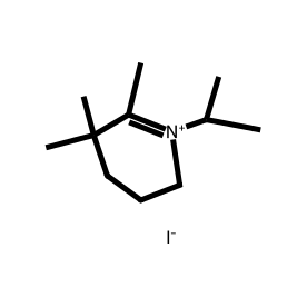 CC1=[N+](C(C)C)CCCC1(C)C.[I-]